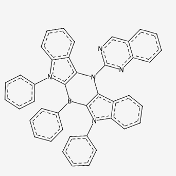 c1ccc(B2c3c(c4ccccc4n3-c3ccccc3)N(c3ncc4ccccc4n3)c3c2n(-c2ccccc2)c2ccccc32)cc1